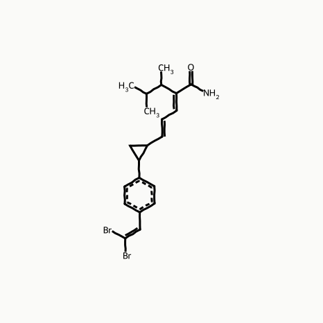 CC(C)C(C)/C(=C\C=C\C1CC1c1ccc(C=C(Br)Br)cc1)C(N)=O